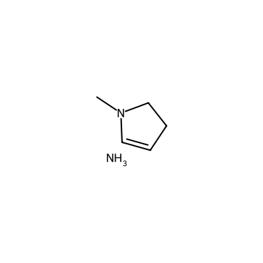 CN1C=CCC1.N